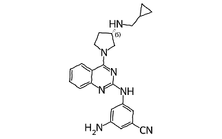 N#Cc1cc(N)cc(Nc2nc(N3CC[C@H](NCC4CC4)C3)c3ccccc3n2)c1